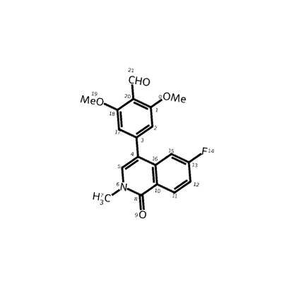 COc1cc(-c2cn(C)c(=O)c3ccc(F)cc23)cc(OC)c1C=O